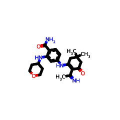 CC(=N)C1=C(Nc2ccc(C(N)=O)c(NC3CCOCC3)c2)CC(C)(C)CC1=O